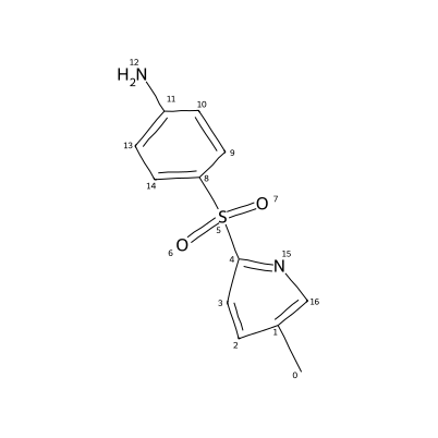 Cc1ccc(S(=O)(=O)c2ccc(N)cc2)nc1